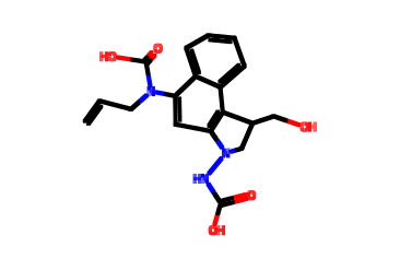 C=CCN(C(=O)O)c1cc2c(c3ccccc13)C(CO)CN2NC(=O)O